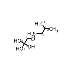 CC(C)C[SiH2]OCC(O)(O)O